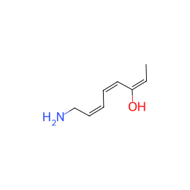 C\C=C(O)/C=C\C=C/CN